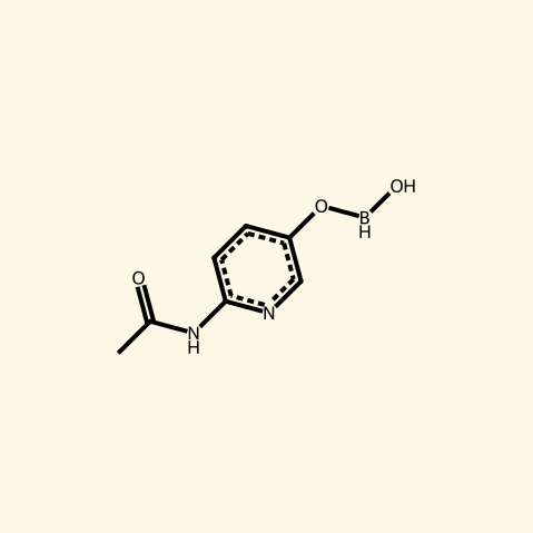 CC(=O)Nc1ccc(OBO)cn1